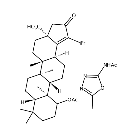 CC(=O)Nc1nnc(C)o1.CC(=O)OC1CCC(C)(C)[C@@H]2CC[C@]3(C)[C@H](CC[C@@H]4C5=C(C(C)C)C(=O)C[C@]5(C(=O)O)CC[C@]43C)[C@@]12C